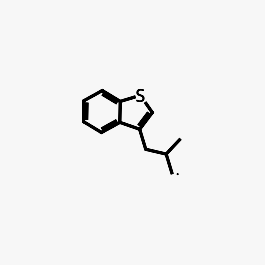 [CH2]C(C)Cc1csc2ccccc12